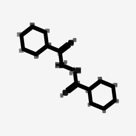 O=C(NNC(=O)C1CCCCC1)C1CCCCC1